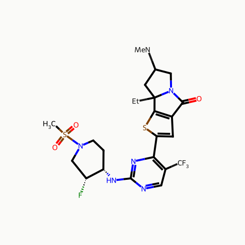 CCC12CC(NC)CN1C(=O)c1cc(-c3nc(N[C@H]4CCN(S(C)(=O)=O)C[C@H]4F)ncc3C(F)(F)F)sc12